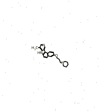 Cc1cncc2c1[nH]c1ccc3cc(OCCCN4CCCCC4)ccc3c12